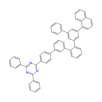 c1ccc(-c2cc(-c3ccccc3-c3cccc(-c4ccc(-c5nc(-c6ccccc6)nc(-c6ccccc6)n5)cc4)c3)cc(-c3cccc4ccccc34)c2)cc1